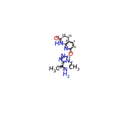 CCn1c(Oc2ccc3c(n2)NC(=O)CC3)nnc1[C@@H](C)N